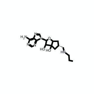 CCCNC[C@H]1CC2OC(n3cnc4c(N)ncnc43)C(O)C2(O)C1